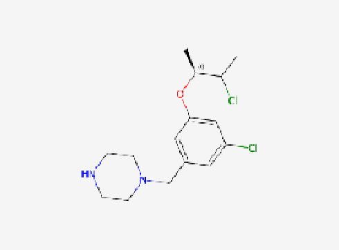 CC(Cl)[C@H](C)Oc1cc(Cl)cc(CN2CCNCC2)c1